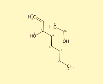 C=CC(O)CCCCC.CCO